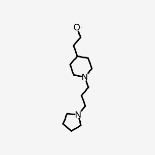 [O]CCC1CCN(CCCN2CCCC2)CC1